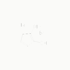 CC1=[C]([Rh+2])CC=C1.[Br-].[Br-]